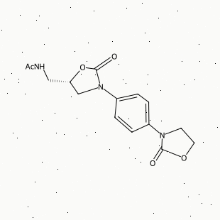 CC(=O)NC[C@H]1CN(c2ccc(N3CCOC3=O)cc2)C(=O)O1